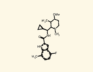 COC1CCN(C)C(C(NC(=O)c2cc3c(F)ccc(C)c3[nH]2)C2CC2)C1C